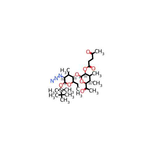 CCC1O[C@@H](O[Si](C)(C)C(C)(C)C)[C@@H](N=[N+]=[N-])C(C)[C@@H]1O[C@@H]1OC(C(C)=O)[C@@H](C)C(C)[C@@H]1OC(=O)CCC(C)=O